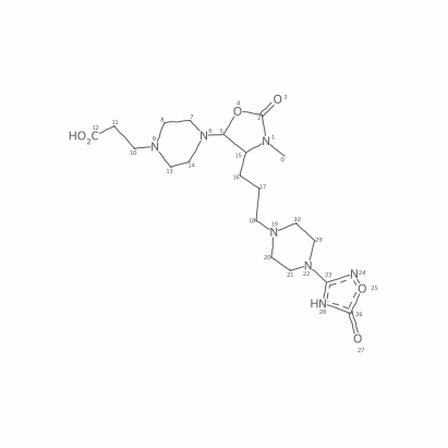 CN1C(=O)OC(N2CCN(CCC(=O)O)CC2)C1CCCN1CCN(c2noc(=O)[nH]2)CC1